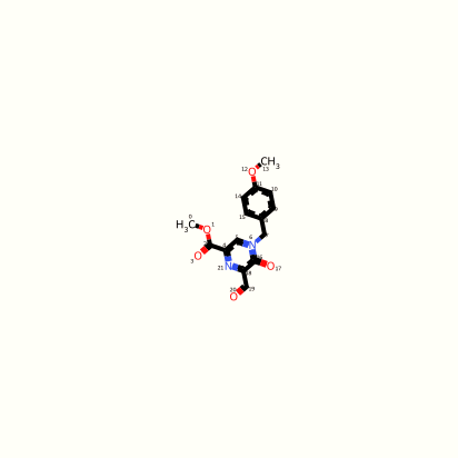 COC(=O)c1cn(Cc2ccc(OC)cc2)c(=O)c(C=O)n1